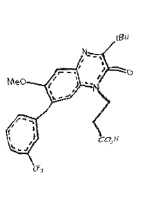 COc1cc2nc(C(C)(C)C)c(=O)n(CCC(=O)O)c2cc1-c1cccc(C(F)(F)F)c1